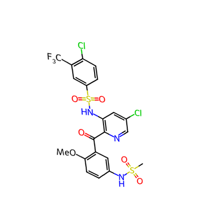 COc1ccc(NS(C)(=O)=O)cc1C(=O)c1ncc(Cl)cc1NS(=O)(=O)c1ccc(Cl)c(C(F)(F)F)c1